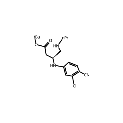 CCCNC[C@H](CC(=O)OC(C)(C)C)Nc1ccc(C#N)c(Cl)c1